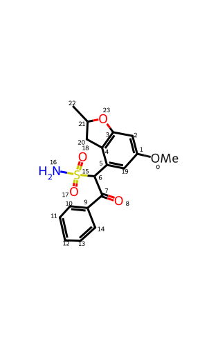 COc1cc2c(c(C(C(=O)c3ccccc3)S(N)(=O)=O)c1)CC(C)O2